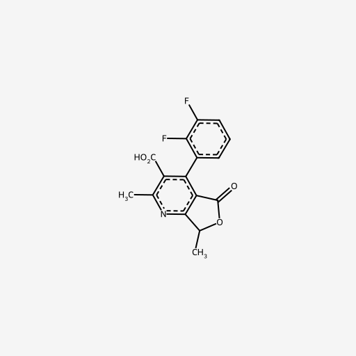 Cc1nc2c(c(-c3cccc(F)c3F)c1C(=O)O)C(=O)OC2C